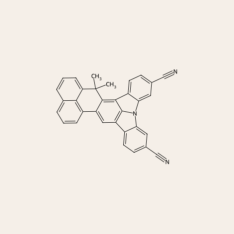 CC1(C)c2cccc3cccc(c23)-c2cc3c4ccc(C#N)cc4n4c5cc(C#N)ccc5c(c21)c34